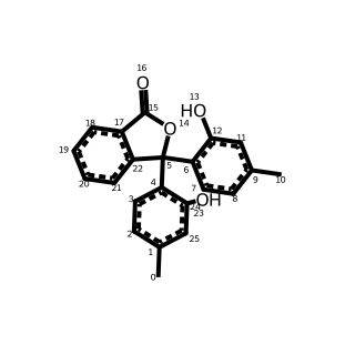 Cc1ccc(C2(c3ccc(C)cc3O)OC(=O)c3ccccc32)c(O)c1